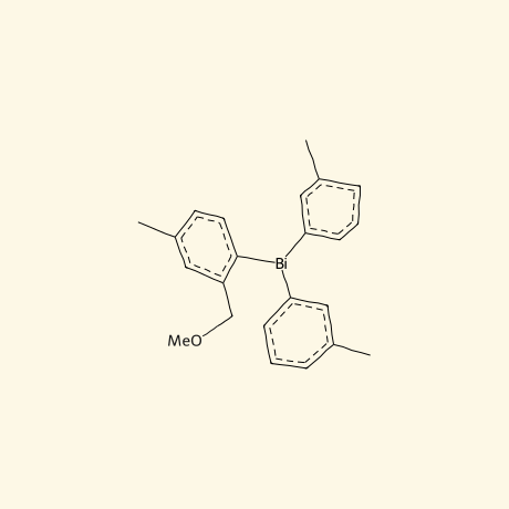 COCc1cc(C)cc[c]1[Bi]([c]1cccc(C)c1)[c]1cccc(C)c1